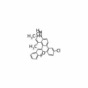 CC1=CC(C)(C)Nc2ccc3c(c21)C(=Cc1ccccc1F)Oc1ccc(Cl)cc1-3